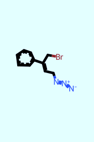 [N-]=[N+]=NC/C=C(\CBr)c1ccccc1